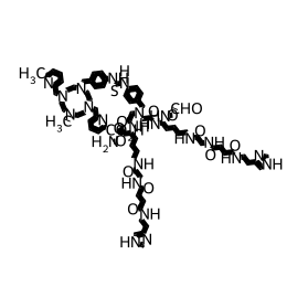 Cc1cccc(CN2CCN(C)CCN(Cc3cccc(C(=O)O)n3)CCN(Cc3ccc(NC(=S)Nc4ccc(CN(CC(=O)NC(CCCCNC(=O)CNC(=O)CCC(=O)NCCc5c[nH]cn5)NOC=O)CC(=O)NC(CCCCNC(=O)CNC(=O)CCC(=O)NCCc5c[nH]cn5)C(=O)ON)cc4)cc3)CC2)n1